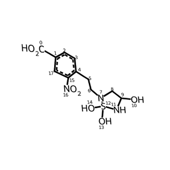 O=C(O)c1ccc(CCN2CC(O)NS2(O)O)c([N+](=O)[O-])c1